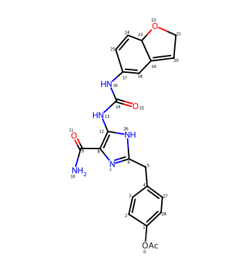 CC(=O)Oc1ccc(Cc2nc(C(N)=O)c(NC(=O)NC3=CC4=CCOC4C=C3)[nH]2)cc1